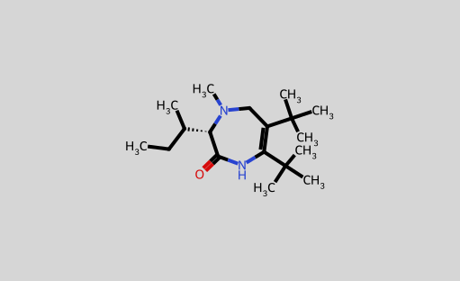 CCC(C)[C@H]1C(=O)NC(C(C)(C)C)=C(C(C)(C)C)CN1C